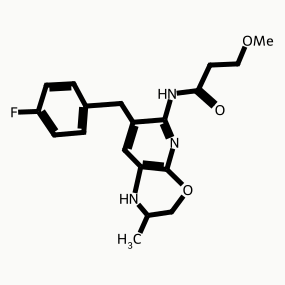 COCCC(=O)Nc1nc2c(cc1Cc1ccc(F)cc1)NC(C)CO2